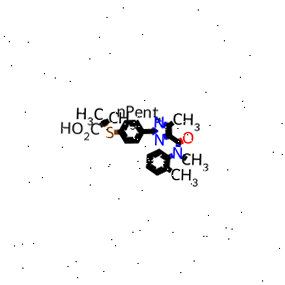 CCCCCn1c(-c2ccc(SC(C)(C)C(=O)O)cc2)nc(C(=O)N(C)c2ccccc2C)c1C